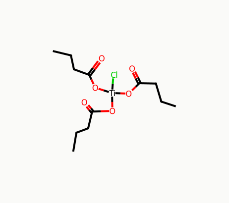 CCCC(=O)[O][Ti]([Cl])([O]C(=O)CCC)[O]C(=O)CCC